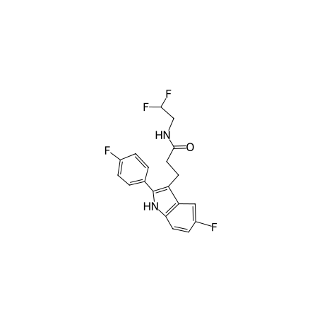 O=C(CCc1c(-c2ccc(F)cc2)[nH]c2ccc(F)cc12)NCC(F)F